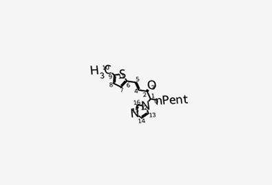 CCCCCC(C(=O)C=Cc1ccc(C)s1)n1ccnc1